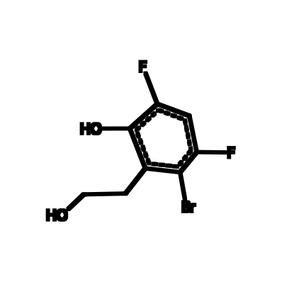 OCCc1c(O)c(F)cc(F)c1Br